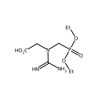 CCOP(=O)(CN(CC(=O)O)C(=N)N)OCC